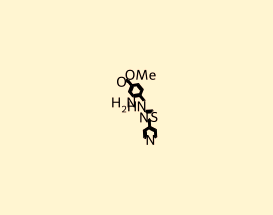 COC(=O)c1ccc(CNc2csc(-c3ccncc3)n2)c(N)c1